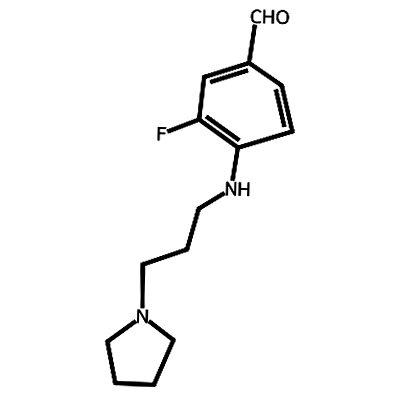 O=Cc1ccc(NCCCN2CCCC2)c(F)c1